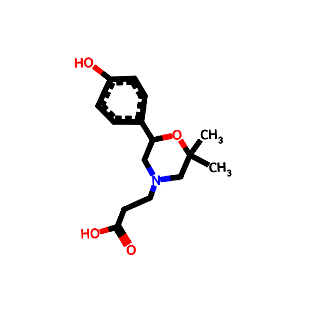 CC1(C)CN(CCC(=O)O)CC(c2ccc(O)cc2)O1